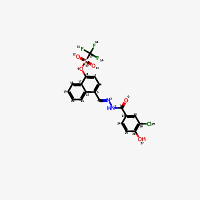 O=C(NN=Cc1ccc(OS(=O)(=O)C(F)(F)F)c2ccccc12)c1ccc(O)c(Cl)c1